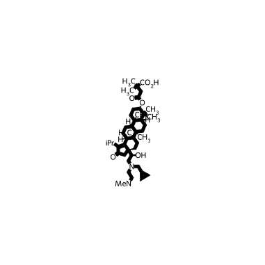 CNCCN(CC1CC1)C[C@H](O)[C@@]12CC[C@]3(C)[C@H](CC[C@@H]4[C@@]5(C)CC[C@H](OC(=O)CC(C)(C)C(=O)O)C(C)(C)[C@@H]5CC[C@]43C)C1=C(C(C)C)C(=O)C2